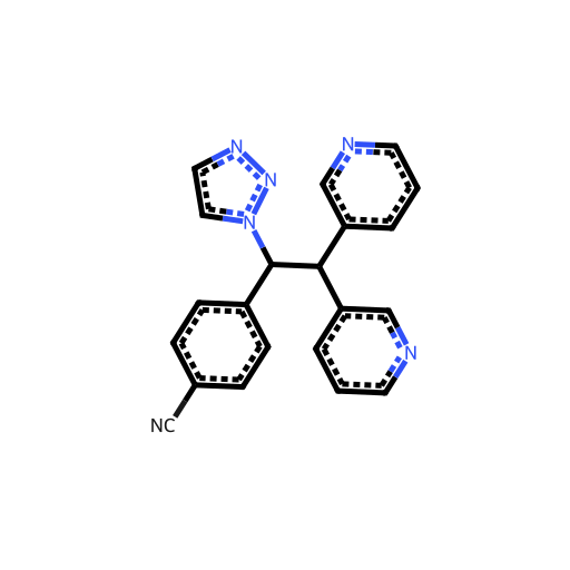 N#Cc1ccc(C(C(c2cccnc2)c2cccnc2)n2ccnn2)cc1